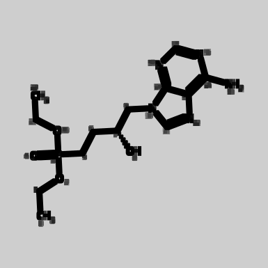 CCOP(=O)(CC[C@@H](O)Cn1cnc2c(N)ncnc21)OCC